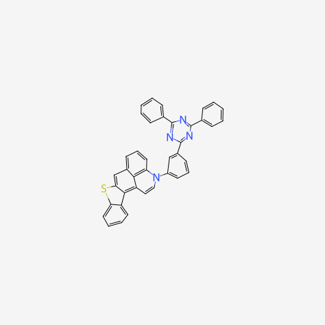 C1=CN(c2cccc(-c3nc(-c4ccccc4)nc(-c4ccccc4)n3)c2)c2cccc3cc4sc5ccccc5c4c1c23